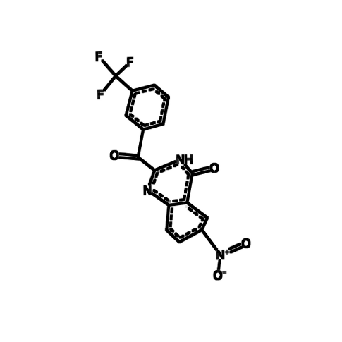 O=C(c1cccc(C(F)(F)F)c1)c1nc2ccc([N+](=O)[O-])cc2c(=O)[nH]1